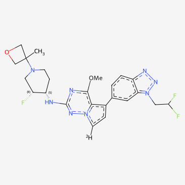 [2H]c1cc(-c2ccc3nnn(CC(F)F)c3c2)c2c(OC)nc(N[C@H]3CCN(C4(C)COC4)C[C@H]3F)nn12